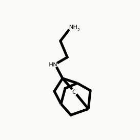 NCCNC12CC3CC(CC1C3)C2